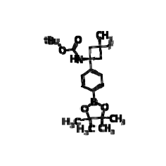 CC(C)(C)OC(=O)N[C@]1(c2ccc(B3OC(C)(C)C(C)(C)O3)cc2)C[C@@](C)(F)C1